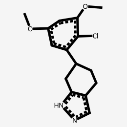 COc1cc(OC)c(Cl)c(C2CCc3cn[nH]c3C2)c1